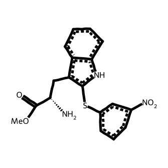 COC(=O)[C@@H](N)Cc1c(Sc2cccc([N+](=O)[O-])c2)[nH]c2ccccc12